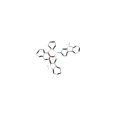 C[Si]1(C)c2ccccc2-c2cc(N(c3ccc4c(c3)[Si](C)(C)c3ccccc3-4)c3ccccc3-c3cccc4ccccc34)ccc21